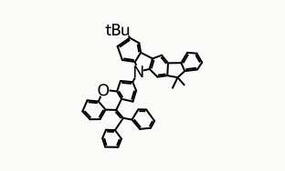 CC(C)(C)c1ccc2c(c1)c1cc3c(cc1n2-c1ccc2c(c1)Oc1ccccc1C2=C(c1ccccc1)c1ccccc1)C(C)(C)c1ccccc1-3